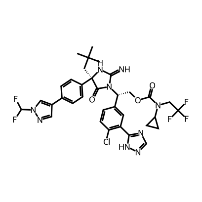 CC(C)(C)C[C@]1(c2ccc(-c3cnn(C(F)F)c3)cc2)NC(=N)N([C@H](COC(=O)N(CC(F)(F)F)C2CC2)c2ccc(Cl)c(-c3ncn[nH]3)c2)C1=O